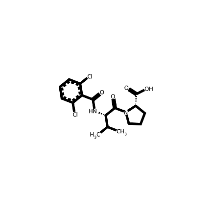 CC(C)[C@H](NC(=O)c1c(Cl)cccc1Cl)C(=O)N1CCC[C@H]1C(=O)O